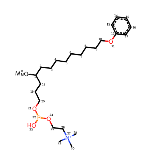 COC(CCCCCCCCCOc1ccccc1)CCCOP(O)OCC[N+](C)(C)C